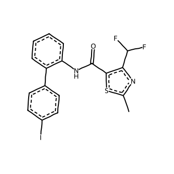 Cc1nc(C(F)F)c(C(=O)Nc2ccccc2-c2ccc(I)cc2)s1